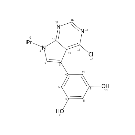 CC(C)n1cc(-c2cc(O)cc(O)c2)c2c(Cl)ncnc21